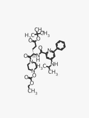 CCOC(=O)ON1CCN(C(=O)[C@H](CCC(=O)OC(C)(C)C)NC(=O)c2cc(NC(C)C)cc(-c3ccccc3)n2)CC1